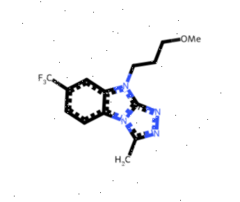 COCCCn1c2cc(C(F)(F)F)ccc2n2c(C)nnc12